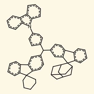 c1ccc2c(c1)-c1cc(C(c3ccc(-n4c5ccccc5c5ccccc54)cc3)c3ccc4c(c3)C3(c5ccccc5-4)C4CC5CC(C4)CC3C5)ccc1C21CCCCC1